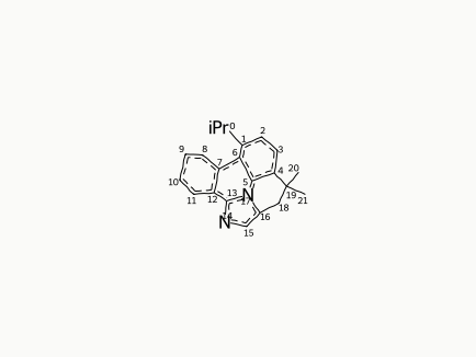 CC(C)c1ccc2c3c1c1ccccc1c1ncc(n13)CC2(C)C